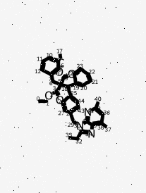 CCOC(=O)C(Cc1ccccc1)(C(=O)OCC)C(c1ccccc1)c1ccc(Cn2c(CC)nc3c(C)cc(C)nc32)cc1